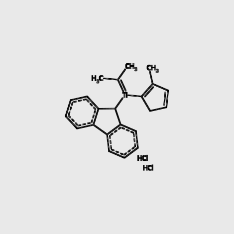 CC1=[C]([Ti](=[C](C)C)[CH]2c3ccccc3-c3ccccc32)CC=C1.Cl.Cl